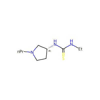 CCCN1CC[C@@H](NC(=S)NCC)C1